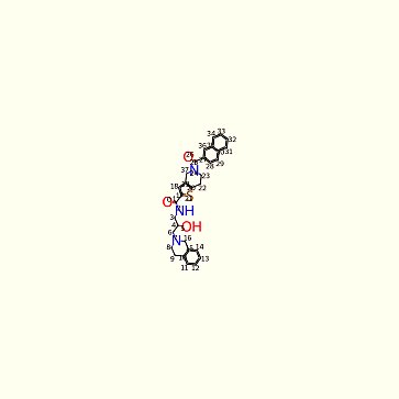 O=C(NCC(O)CN1CCc2ccccc2C1)c1cc2c(s1)CCN(C(=O)c1ccc3ccccc3c1)C2